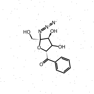 [N-]=[N+]=N[C@]1(CO)O[C@@H](C(=O)c2ccccc2)C(O)[C@@H]1O